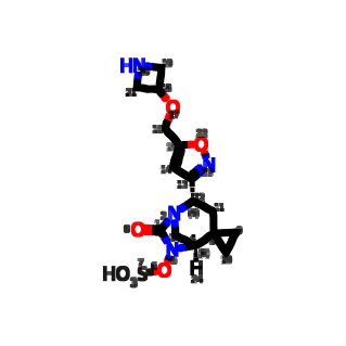 O=C1N2C[C@H](N1OS(=O)(=O)O)C1(CC1)C[C@H]2c1cc(COC2CNC2)on1